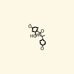 COc1ccc(C(C)NC(=O)c2ccc(OC)cc2O)cc1